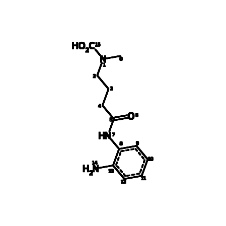 CN(CCCC(=O)Nc1ccccc1N)C(=O)O